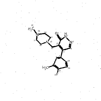 Cc1cc(-c2cn[nH]c(=O)c2CN2CCN(C)CC2)ccc1F